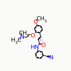 COc1ccc(/C=C/C(=O)Nc2cccc(C#N)c2)c(OCCN(C)C)c1